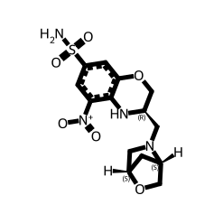 NS(=O)(=O)c1cc2c(c([N+](=O)[O-])c1)N[C@H](CN1C[C@@H]3C[C@H]1CO3)CO2